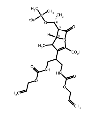 C=CCOC(=O)NCC(CNC(=O)OCC=C)C1=C(C(=O)O)N2C(=O)[C@H]([C@@H](C)O[Si](C)(C)C(C)(C)C)[C@H]2C1C